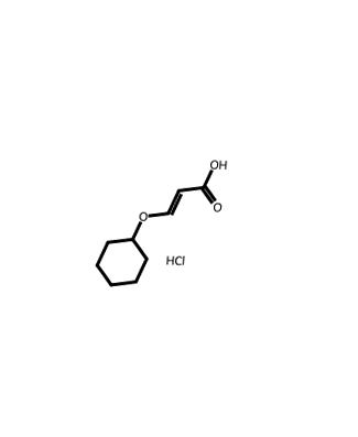 Cl.O=C(O)C=COC1CCCCC1